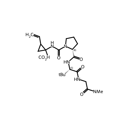 C=CC1CC1(NC(=O)N1CCC[C@@H]1C(=O)N[C@H](C(=O)NCC(=O)NC)C(C)(C)C)C(=O)O